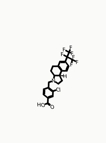 O=C(O)c1ccc(CN2CC[C@H]3c4ccc(C(F)(C(F)(F)F)C(F)(F)F)cc4CCC32)c(Cl)c1